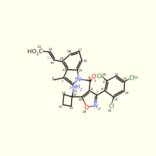 Cc1cn(C(=O)c2c(-c3c(Cl)cc(Cl)cc3Cl)noc2C2(N)CCC2)c2cccc(/C=C/C(=O)O)c12